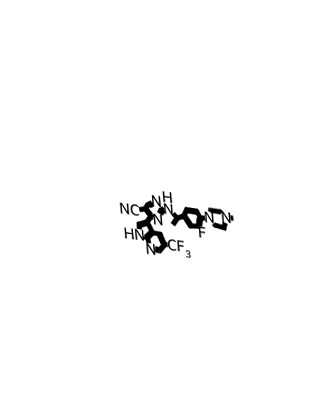 CC(Nc1ncc(C#N)c(-c2c[nH]c3ncc(C(F)(F)F)cc23)n1)c1ccc(N2CCN(C)CC2)c(F)c1